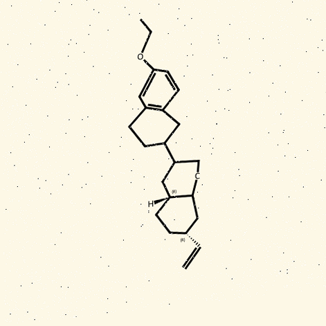 C=C[C@@H]1CC[C@@H]2CC(C3CCc4cc(OCC)ccc4C3)CCC2C1